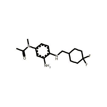 CC(=O)N(C)c1ccc(NCC2CCC(F)(F)CC2)c(N)c1